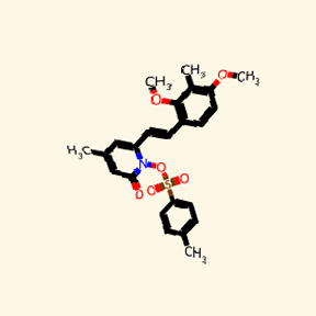 COc1ccc(/C=C/c2cc(C)cc(=O)n2OS(=O)(=O)c2ccc(C)cc2)c(OC)c1C